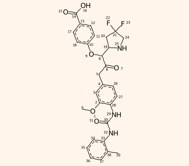 COc1cc(CC(=O)C(Oc2ccc(C(=O)O)cc2)C2CC(F)(F)CN2)ccc1NC(=O)Nc1ccccc1C